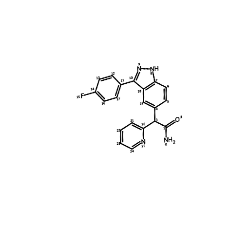 NC(=O)C(c1ccc2[nH]nc(-c3ccc(F)cc3)c2c1)c1ccccn1